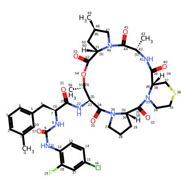 Cc1cccc(C[C@H](NC(=O)Nc2ccc(Cl)cc2F)C(=O)N[C@@H]2C(=O)N3CCC[C@H]3C(=O)N3CCSC[C@H]3C(=O)N[C@@H](C)C(=O)N3C[C@H](C)C[C@H]3C(=O)O[C@H]2C)c1